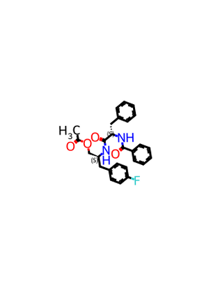 CC(=O)OC[C@H](Cc1ccc(F)cc1)NC(=O)[C@H](Cc1ccccc1)NC(=O)c1ccccc1